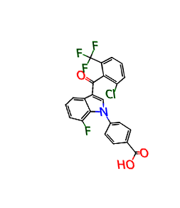 O=C(O)c1ccc(-n2cc(C(=O)c3c(Cl)cccc3C(F)(F)F)c3cccc(F)c32)cc1